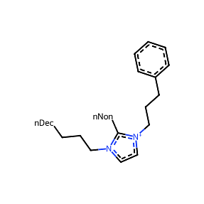 CCCCCCCCCCCCCn1cc[n+](CCCc2ccccc2)c1CCCCCCCCC